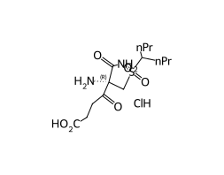 CCCC(CCC)S(=O)(=O)C[C@](N)(C(N)=O)C(=O)CCC(=O)O.Cl